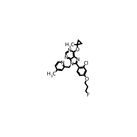 Cc1ccnc(Cn2c(-c3ccc(OCCCF)cc3Cl)nc3c(OC4(C)CC4)ncnc32)c1